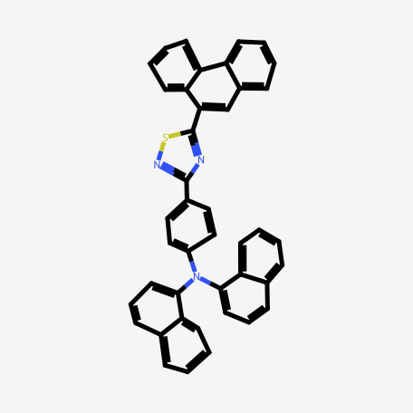 c1ccc2c(N(c3ccc(-c4nsc(-c5cc6ccccc6c6ccccc56)n4)cc3)c3cccc4ccccc34)cccc2c1